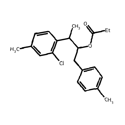 CCC(=O)OC(Cc1ccc(C)cc1)C(C)c1ccc(C)cc1Cl